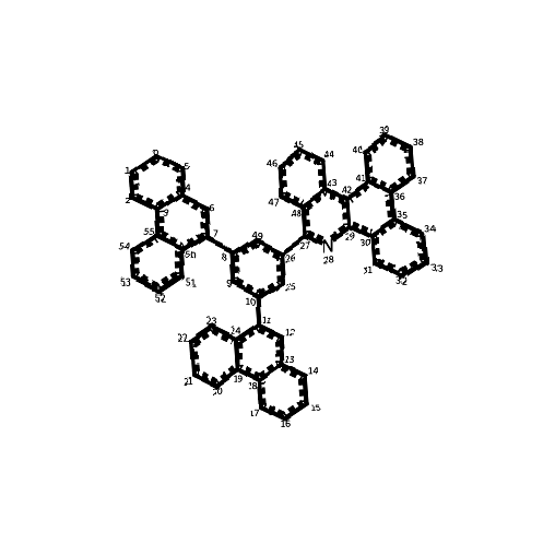 c1ccc2c(c1)cc(-c1cc(-c3cc4ccccc4c4ccccc34)cc(-c3nc4c5ccccc5c5ccccc5c4c4ccccc34)c1)c1ccccc12